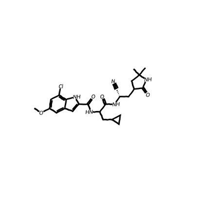 COc1cc(Cl)c2[nH]c(C(=O)NC(CC3CC3)C(=O)N[C@H](C#N)CC3CC(C)(C)NC3=O)cc2c1